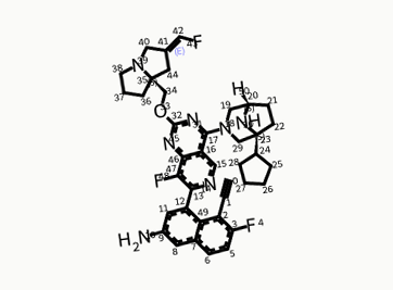 C#Cc1c(F)ccc2cc(N)cc(-c3ncc4c(N5C[C@@H]6CC[C@](C7CCCC7)(C5)N6)nc(OC[C@@]56CCCN5C/C(=C/F)C6)nc4c3F)c12